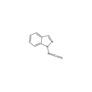 S=C=Nn1ncc2ccccc21